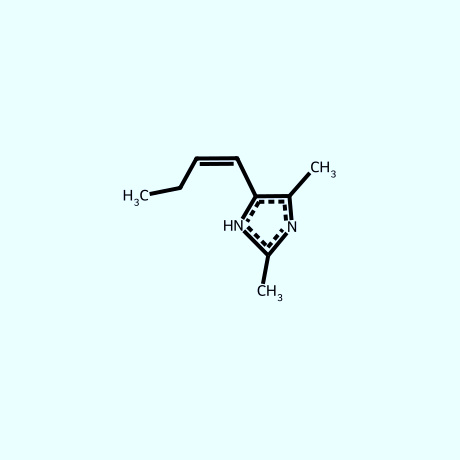 CC/C=C\c1[nH]c(C)nc1C